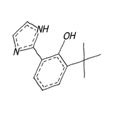 CC(C)(C)c1cccc(-c2ncc[nH]2)c1O